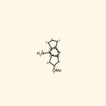 COC1Cc2cc3c(c(N)c2C1)CCC3